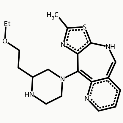 CCOCCC1CN(C2=c3ncccc3=CNc3sc(C)nc32)CCN1